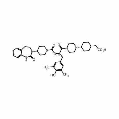 Cc1cc(C[C@@H](OC(=O)N2CCC(N3CCc4ccccc4NC3=O)CC2)C(=O)N2CCN([C@H]3CC[C@H](CC(=O)O)CC3)CC2)cc(C)c1O